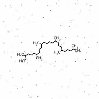 CC(C)CCCC(C)CCCC(C)CCCCC(C)CCCC(C)CCCC(C)CO